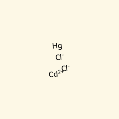 [Cd+2].[Cl-].[Cl-].[Hg]